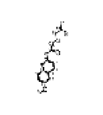 COc1ccc2cc(CC(=O)OCCC(C)C)ccc2c1